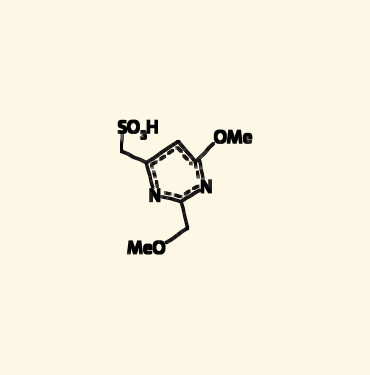 COCc1nc(CS(=O)(=O)O)cc(OC)n1